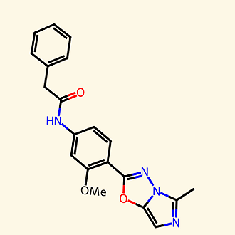 COc1cc(NC(=O)Cc2ccccc2)ccc1-c1nn2c(C)ncc2o1